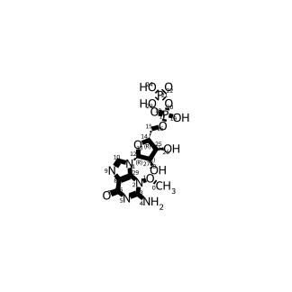 COn1c(N)nc(=O)c2ncn([C@@H]3O[C@H](COP(=O)(O)OP(=O)(O)O)[C@@H](O)[C@H]3O)c21